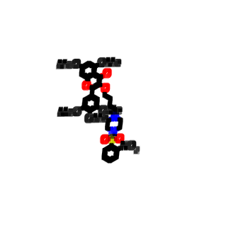 COc1cc(OC)c2c(=O)c(OCCCCN3CCN(S(=O)(=O)c4ccccc4[N+](=O)[O-])CC3)c(-c3cc(OC)c(OC)c(OC)c3)oc2c1